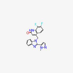 Cn1nccc1-c1nc2ccccc2n1Cc1cc(=O)[nH]c2c(F)c(F)ccc12